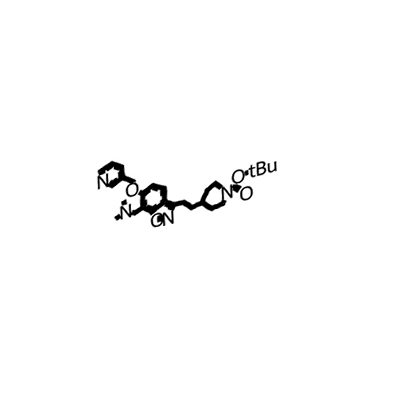 CN(C)Cc1c(OCc2cccnc2)ccc2c(CCC3CCN(C(=O)OC(C)(C)C)CC3)noc12